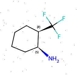 N[C@H]1CCCC[C@H]1C(F)(F)F